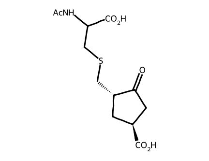 CC(=O)NC(CSC[C@H]1C[C@H](C(=O)O)CC1=O)C(=O)O